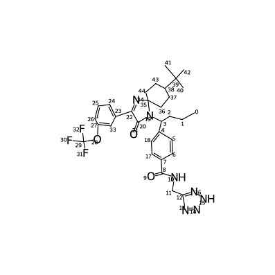 CCCC(c1ccc(C(=O)NCc2nn[nH]n2)cc1)N1C(=O)C(c2cccc(OC(F)(F)F)c2)=NC12CCC(C(C)(C)C)CC2